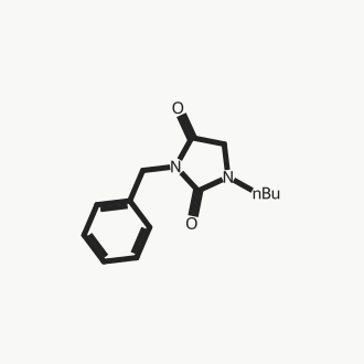 CCCCN1CC(=O)N(Cc2ccccc2)C1=O